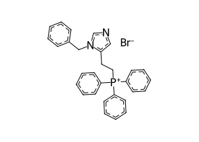 [Br-].c1ccc(Cn2cncc2CC[P+](c2ccccc2)(c2ccccc2)c2ccccc2)cc1